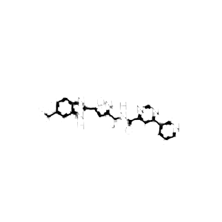 C[C@H](NC(=O)c1cc(-c2cccnc2)ncn1)c1cc(-c2nc3ccc(CF)cc3[nH]2)on1